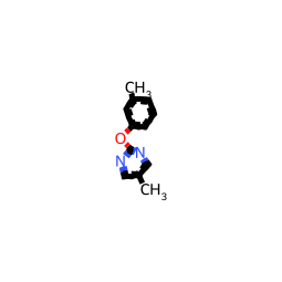 Cc1cnc(Oc2cccc(C)c2)nc1